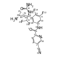 N#Cc1ccc(C(=O)Nc2cc(F)c(F)c([C@](NC(N)=O)(C(F)F)[C@H]3C[C@H]3N)c2)nc1